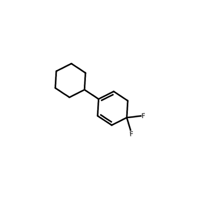 FC1(F)C=CC(C2CCCCC2)=CC1